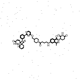 Cc1nn(C2CCC(=O)NC2=O)c(=O)c2ccc(NCCCC(=O)N3CCC(COc4ccnc(-c5cccc(CC6(C7(C#N)C=CC=CC7)C=CC(=O)NN6)c5)n4)CC3)cc12